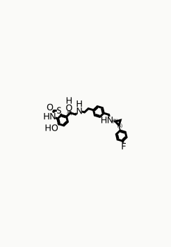 O=c1[nH]c2c(O)ccc([C@@H](O)CNCCc3ccc(CN[C@@H]4C[C@H]4c4ccc(F)cc4)cc3)c2s1